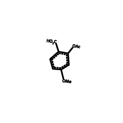 COc1ccc(C(=O)O)c(OC(C)=O)c1